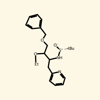 CCOC(COCc1ccccc1)C(Cc1ccccn1)N[S@+]([O-])C(C)(C)C